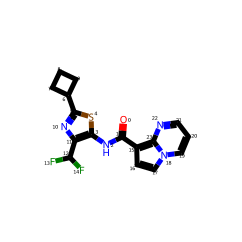 O=C(Nc1sc(C2CCC2)nc1C(F)F)c1ccn2cccnc12